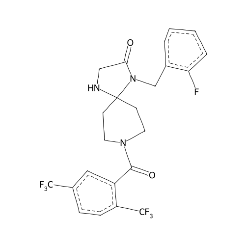 O=C(c1cc(C(F)(F)F)ccc1C(F)(F)F)N1CCC2(CC1)NCC(=O)N2Cc1ccccc1F